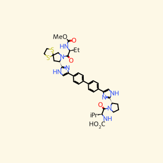 CC[C@H](NC(=O)OC)C(=O)N1CC2(C[C@H]1c1nc(-c3ccc(-c4ccc(-c5c[nH]c([C@@H]6CCCN6C(=O)[C@@H](NC(=O)O)C(C)C)n5)cc4)cc3)c[nH]1)SCCS2